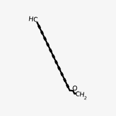 C#CC#CC#CC#CC#CC#CC#CC#CC#CC#CC#CC#CCC(=O)C=C